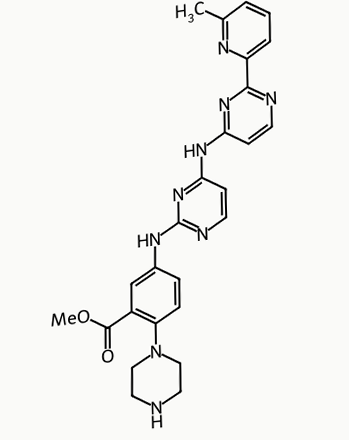 COC(=O)c1cc(Nc2nccc(Nc3ccnc(-c4cccc(C)n4)n3)n2)ccc1N1CCNCC1